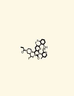 C=CC(=O)N1CCN(c2nc(=O)n(-c3c(C)ccnc3C(C)C)c3nc(-c4c(O)cccc4F)c(F)cc23)C(C(F)F)C1